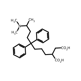 CC(CCC(CCCC(CC(=O)O)C(=O)O)(c1ccccc1)c1ccccc1)N(C)C